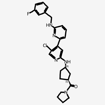 O=C([C@H]1CC[C@@H](Nc2cc(-c3cccc(NCc4cccc(F)c4)n3)c(Cl)cn2)C1)N1CCCC1